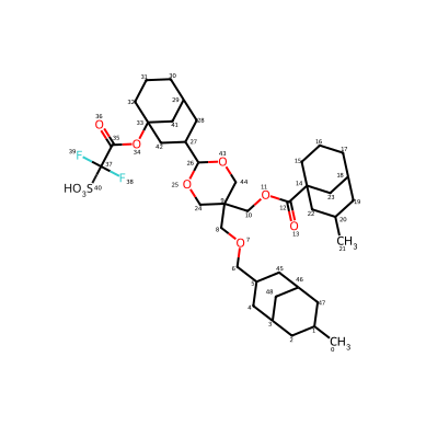 CC1CC2CC(COCC3(COC(=O)C45CCCC(CC(C)C4)C5)COC(C4CC5CCCC(OC(=O)C(F)(F)S(=O)(=O)O)(C5)C4)OC3)CC(C1)C2